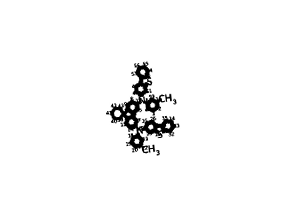 Cc1cccc(N(c2ccc(C3(c4ccc(N(c5cccc(C)c5)c5ccc6c(c5)sc5ccccc56)cc4)CCCCC3)cc2)c2ccc3c(c2)sc2ccccc23)c1